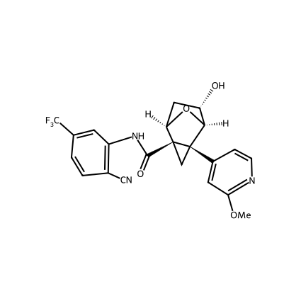 COc1cc([C@@]23C[C@]2(C(=O)Nc2cc(C(F)(F)F)ccc2C#N)[C@H]2C[C@H](O)[C@@H]3O2)ccn1